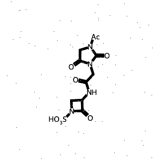 CC(=O)N1CC(=O)N(CC(=O)NC2CN(S(=O)(=O)O)C2=O)C1=O